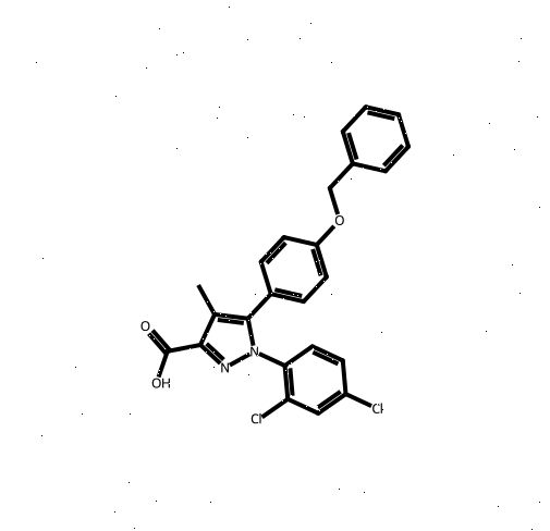 Cc1c(C(=O)O)nn(-c2ccc(Cl)cc2Cl)c1-c1ccc(OCc2ccccc2)cc1